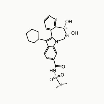 CN(C)S(=O)(=O)NC(=O)c1ccc2c(C3CCCCC3)c3n(c2c1)C[C@@H](O)[C@@H](O)c1ncccc1-3